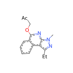 CCc1nn(C)c2nc(OCC(C)=O)c3ccccc3c12